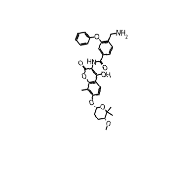 CO[C@@H]1CC[C@H](Oc2ccc3c(O)c(NC(=O)c4ccc(CN)c(Oc5ccccc5)c4)c(=O)oc3c2C)OC1(C)C